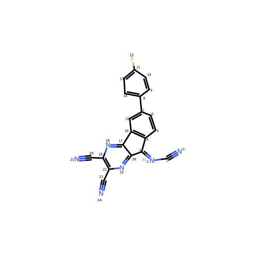 N#C/N=C1\c2ccc(-c3ccc(F)cc3)cc2-c2nc(C#N)c(C#N)nc21